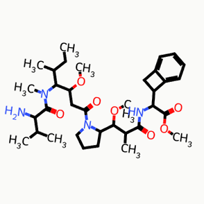 CCC(C)C(C(CC(=O)N1CCCC1C(OC)C(C)C(=O)NC(C(=O)OC)C1Cc2ccccc21)OC)N(C)C(=O)C(N)C(C)C